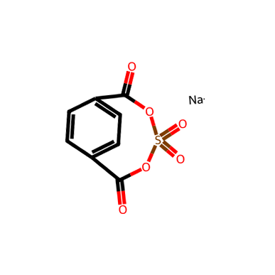 O=C1OS(=O)(=O)OC(=O)c2ccc1cc2.[Na]